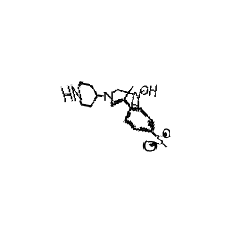 CC1(NO)CN(C2CCNCC2)C=C1c1ccc(S(C)(=O)=O)cc1